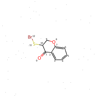 O=C1c2ccccc2OCC1SBr